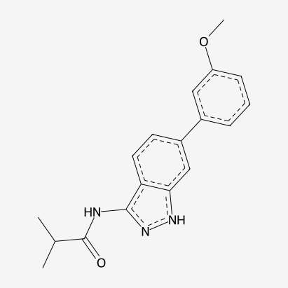 COc1cccc(-c2ccc3c(NC(=O)C(C)C)n[nH]c3c2)c1